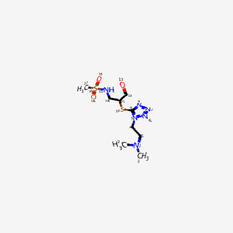 CN(C)CCn1nnnc1SC(C=O)CNS(C)(=O)=O